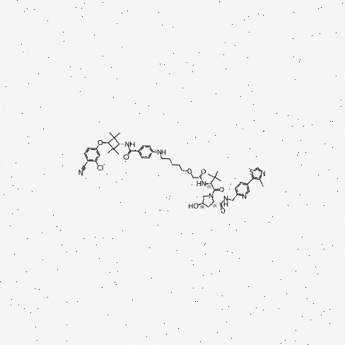 Cc1ncsc1-c1ccc(CNC(=O)[C@@H]2C[C@@H](O)CN2C(=O)[C@@H](NC(=O)COCCCCCNc2ccc(C(=O)N[C@H]3C(C)(C)[C@H](Oc4ccc(C#N)c(Cl)c4)C3(C)C)cc2)C(C)(C)C)nc1